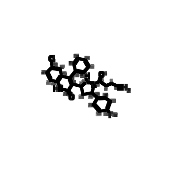 NCCC(=O)N1NC(c2c(-c3ccccc3)c3cc(Cl)ccc3[nH]c2=O)CC1c1ccc(F)cc1